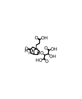 CN1C2CC[C@@]1(CCC(=O)O)CC(=O)C2.O=C(O)C(O)C(O)C(=O)O